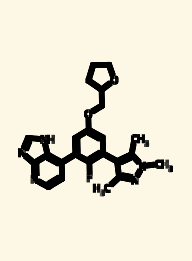 Cc1nn(C)c(C)c1-c1cc(OCC2CCCO2)cc(-c2ccnc3nc[nH]c23)c1F